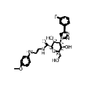 COc1ccc(NCCNC(=O)[C@@H]2O[C@H](CO)[C@H](O)[C@H](n3cc(-c4cccc(F)c4)nn3)[C@H]2O)cc1